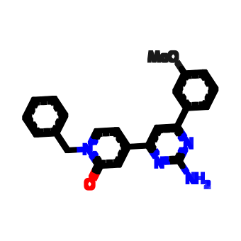 COc1cccc(-c2cc(-c3ccn(Cc4ccccc4)c(=O)c3)nc(N)n2)c1